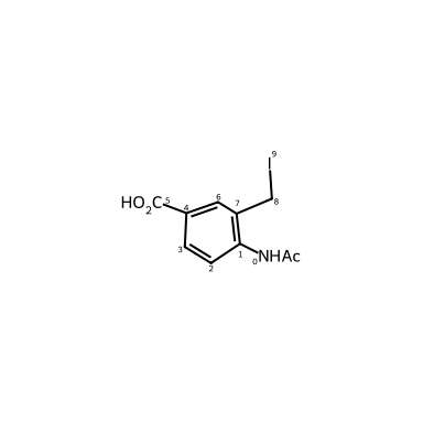 CC(=O)Nc1ccc(C(=O)O)cc1CI